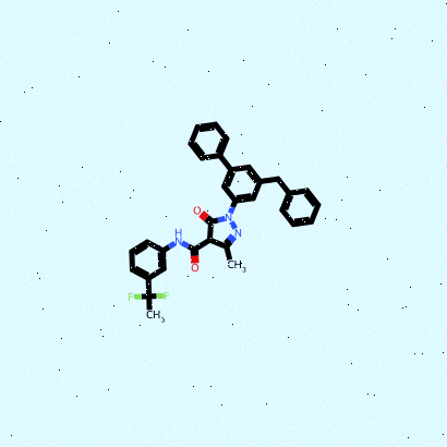 CC1=NN(c2cc(Cc3ccccc3)cc(-c3ccccc3)c2)C(=O)C1C(=O)Nc1cccc(C(C)(F)F)c1